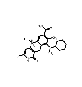 CNc1cc(C(N)=O)c(C)c(N(C)C2CCOCC2)c1Cc1c(C)cc(C)[nH]c1=O